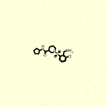 NCc1c(Cl)cccc1S(=O)(=O)N1CCCC(C(=O)NC2CCCC2)C1